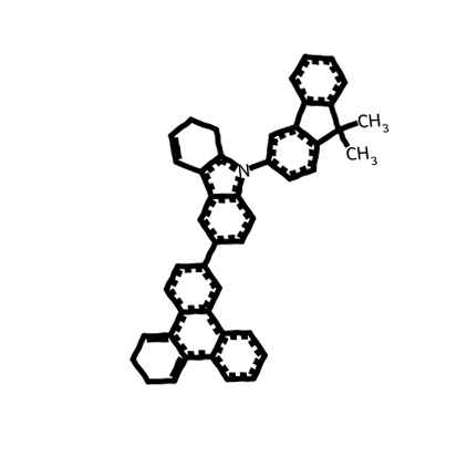 CC1(C)c2ccccc2-c2cc(-n3c4c(c5cc(-c6ccc7c8c(c9ccccc9c7c6)=CCCC=8)ccc53)C=CCC4)ccc21